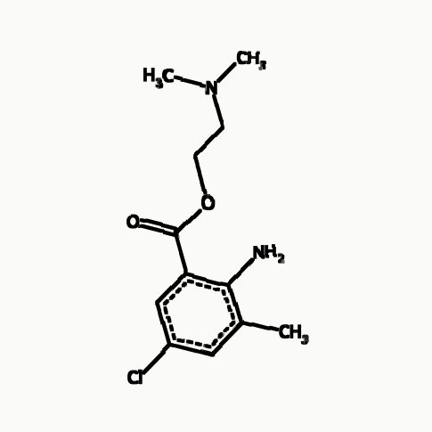 Cc1cc(Cl)cc(C(=O)OCCN(C)C)c1N